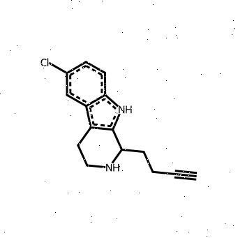 C#CCCC1NCCc2c1[nH]c1ccc(Cl)cc21